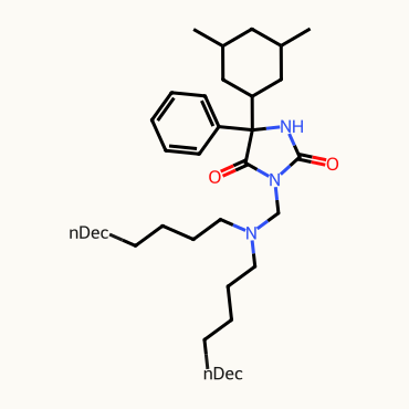 CCCCCCCCCCCCCCN(CCCCCCCCCCCCCC)CN1C(=O)NC(c2ccccc2)(C2CC(C)CC(C)C2)C1=O